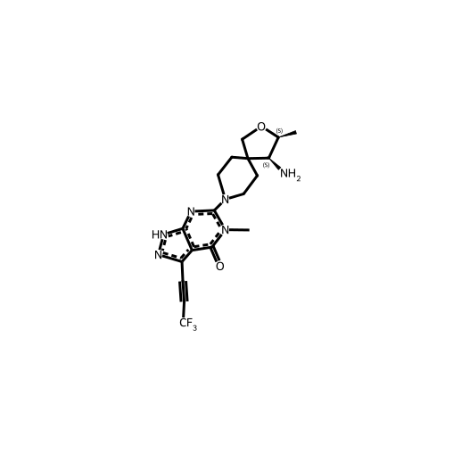 C[C@@H]1OCC2(CCN(c3nc4[nH]nc(C#CC(F)(F)F)c4c(=O)n3C)CC2)[C@@H]1N